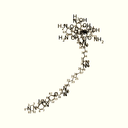 CN1CCN(c2ccc3nc(-c4ccc(OCc5cn(CCCCCCCCCCn6cc(CCCCc7cn(CC8OC(OC9[C@H](O[C@H]%10OC(CN)[C@@H](O)[C@H](O)C%10N)C(N)C[C@@H](N)[C@H]9O)[C@@H](O)[C@H]8O[C@H]8O[C@@H](CN)[C@@H](O)C(O)C8N)nn7)nn6)nn5)cc4)[nH]c3c2)CC1